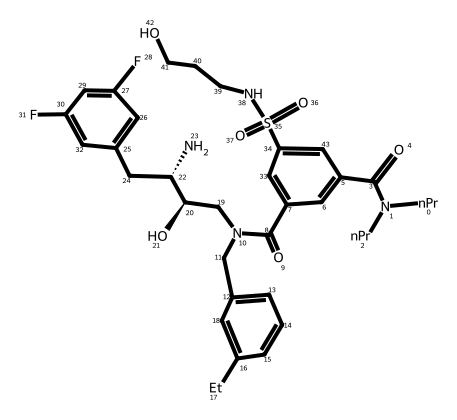 CCCN(CCC)C(=O)c1cc(C(=O)N(Cc2cccc(CC)c2)C[C@@H](O)[C@@H](N)Cc2cc(F)cc(F)c2)cc(S(=O)(=O)NCCCO)c1